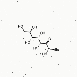 CCC(C)N(N)C(=O)[C@H](O)[C@@H](O)[C@H](O)[C@H](O)CO